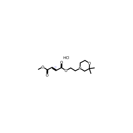 COC(=O)/C=C/C(=O)OCCN1CCOC(C)(C)C1.Cl